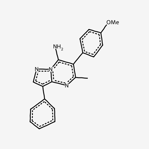 COc1ccc(-c2c(C)nc3c(-c4ccccc4)cnn3c2N)cc1